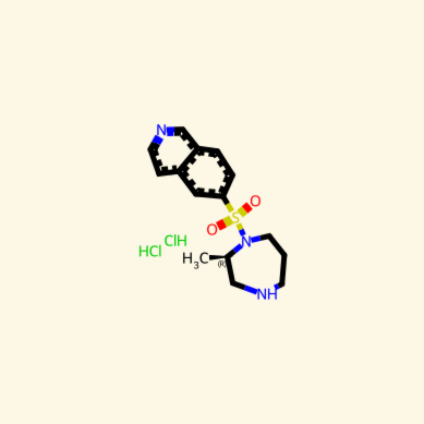 C[C@@H]1CNCCCN1S(=O)(=O)c1ccc2cnccc2c1.Cl.Cl